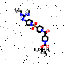 CC/N=C(\NC)NC1CCN(S(=O)(=O)C2CCN(C(=O)C3CCN(C(=O)OC(C)(C)C)CC3)CC2)CC1